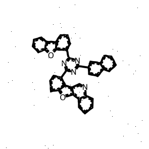 c1ccc2cc(-c3nc(-c4cccc5c4oc4ccccc45)nc(-c4cccc5oc6c7ccccc7ncc6c45)n3)ccc2c1